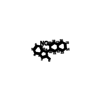 CC1=Cc2ccccc2C1c1cc2ccccc2cc1C#N